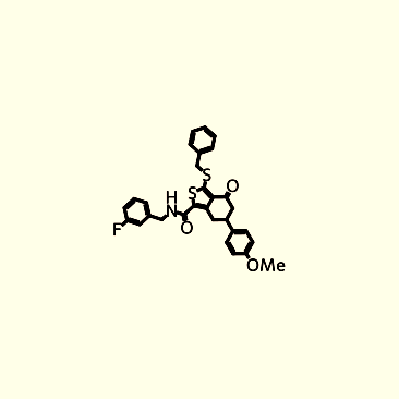 COc1ccc(C2CC(=O)c3c(SCc4ccccc4)sc(C(=O)NCc4cccc(F)c4)c3C2)cc1